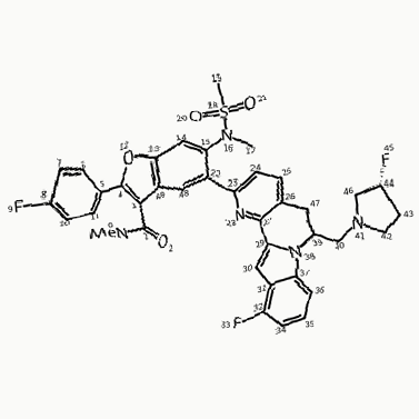 CNC(=O)c1c(-c2ccc(F)cc2)oc2cc(N(C)S(C)(=O)=O)c(-c3ccc4c(n3)-c3cc5c(F)cccc5n3C(CN3CC[C@@H](F)C3)C4)cc12